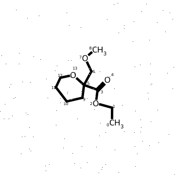 CCOC(=O)C1(COC)CCCCO1